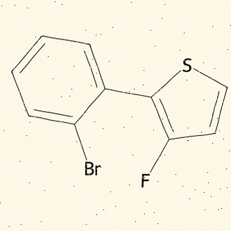 Fc1ccsc1-c1ccccc1Br